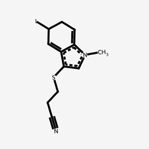 Cn1cc(SCCC#N)c2c1=CCC(I)C=2